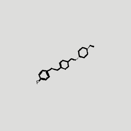 CC[C@H]1CC[C@H](CCC2CC=C(CCc3ccc(F)cc3)CC2)CC1